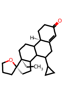 CC[C@]12CCC3C(C(C4CC4)CC4=CC(=O)CC[C@@H]43)C1CC[C@@]21CCCO1